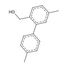 Cc1ccc(-c2cc(C)ccc2CO)cc1